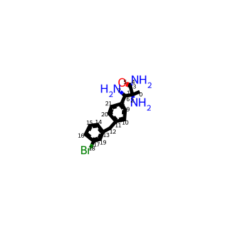 CC(N)(C(N)=O)C(N)c1ccc(Cc2cccc(Br)c2)cc1